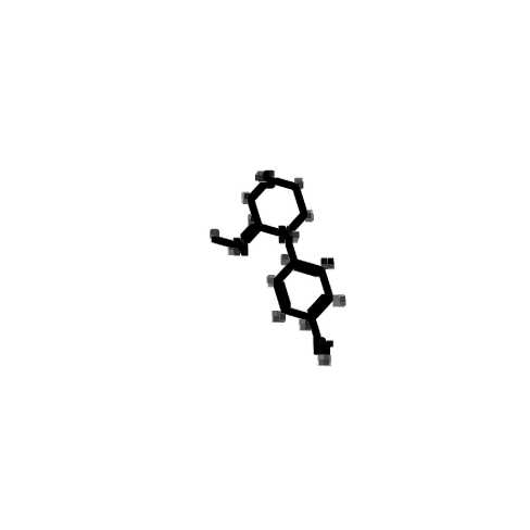 CN=C1CSCCN1c1ccc(Br)cc1